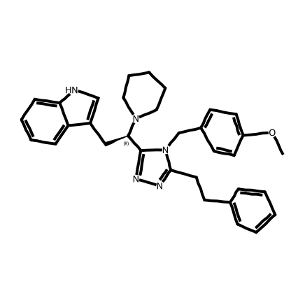 COc1ccc(Cn2c(CCc3ccccc3)nnc2[C@@H](Cc2c[nH]c3ccccc23)N2CCCCC2)cc1